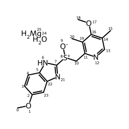 COc1ccc2[nH]c([S+]([O-])Cc3ncc(C)c(OC)c3C)nc2c1.O.[MgH2]